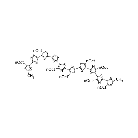 CCCCCCCCc1cc(C)sc1-c1nc(CCCCCCCC)c(-c2ccc(-c3ccc(-c4sc(-c5sc(-c6cc(CCCCCCCC)c(-c7nc(CCCCCCCC)c(-c8sc(-c9sc(C)cc9CCCCCCCC)nc8CCCCCCCC)s7)s6)cc5CCCCCCCC)nc4CCCCCCCC)s3)s2)s1